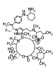 C=C(c1ccc(NC2CCCCC2N)cc1)[C@@H](CF)N1C=C(CCN(C)[C@@H]2C[C@H](O[C@@H]3[C@@H](C)[C@H](C4C[C@H](C)C[C@H](C)O4)[C@@H](C)C(=O)O[C@H](CC)[C@@](C)(O)[C@H](O)[C@@H](C)N(C)C[C@H](C)C[C@@]3(C)O)O[C@H](C)C2)NN1